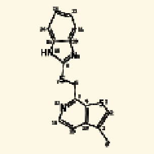 Cc1csc2c(CSc3nc4ccccc4[nH]3)nccc12